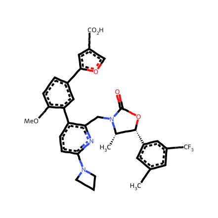 COc1ccc(-c2cc(C(=O)O)co2)cc1-c1ccc(N2CCC2)nc1CN1C(=O)O[C@H](c2cc(C)cc(C(F)(F)F)c2)[C@@H]1C